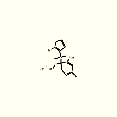 CC1=CCC(OC(C)(C)C)([Si](C)(C)C2=[C]([Ti+2])CC=C2)C(C(C)(C)C)=C1.[Cl-].[Cl-]